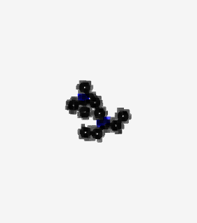 c1ccc(-c2cccc(-c3cc(-c4cccc(-c5ccccc5)c4)nc(-c4ccc(-c5ccc6cc(-c7ccccc7)n7nc(-c8ccccc8)c(-c8ccccc8)c7c6c5)cc4)n3)c2)cc1